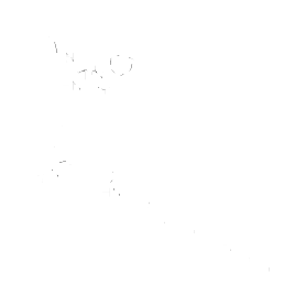 [CH2]COCCOCCOCCOCCOCCNC(=O)C1CCC(CN2C(=O)CC(SCCCCC[C@H](NC(=O)C3CCC(=O)N3)C(=O)Nc3ccccc3)C2=O)CC1